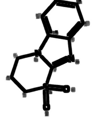 O=S1(=O)CCCn2c1nc1ccccc12